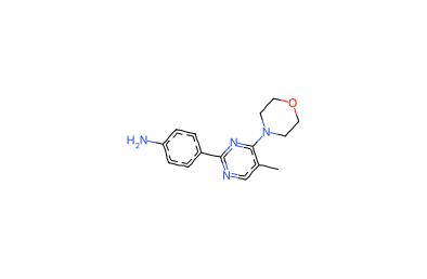 Cc1cnc(-c2ccc(N)cc2)nc1N1CCOCC1